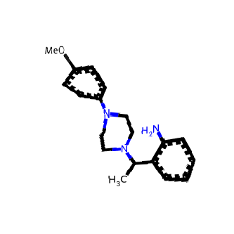 COc1ccc(N2CCN(C(C)c3ccccc3N)CC2)cc1